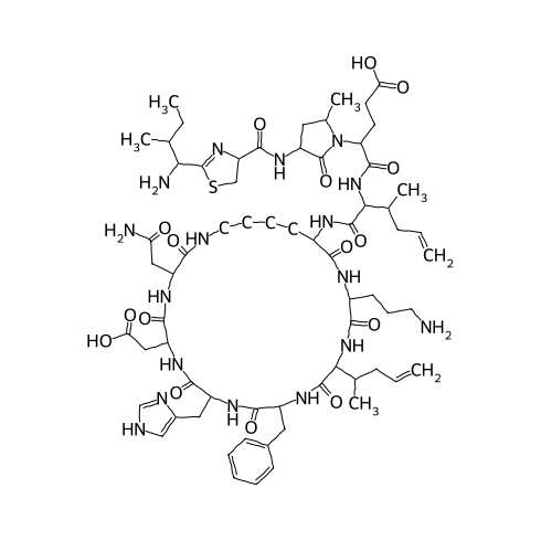 C=CCC(C)C1NC(=O)C(CCCN)NC(=O)C(NC(=O)C(NC(=O)C(CCC(=O)O)N2C(=O)C(NC(=O)C3CSC(C(N)C(C)CC)=N3)CC2C)C(C)CC=C)CCCCNC(=O)C(CC(N)=O)NC(=O)C(CC(=O)O)NC(=O)C(Cc2c[nH]cn2)NC(=O)C(Cc2ccccc2)NC1=O